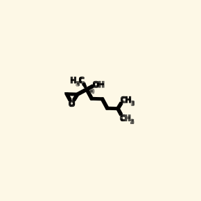 CC(C)CCC[C@@](C)(O)C1CO1